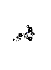 NS(=O)(=O)c1cccc(NC(=O)[C@H](Cc2ccccc2)NC(=O)/C=C/c2cc(Cl)ccc2-n2cnnn2)c1